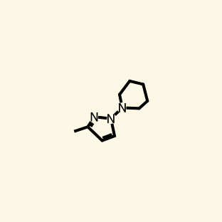 Cc1ccn(N2CCCCC2)n1